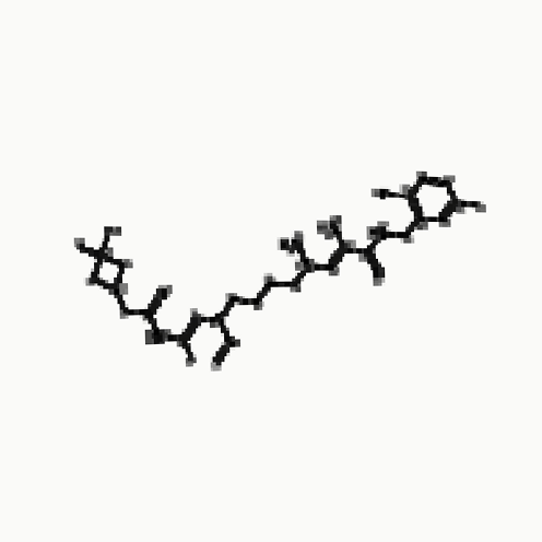 C=NN(/C=C(\C)NC(=O)CN1CC(C)(F)C1)CCCCN(N)/C=C(\N)C(=O)NCc1cc(C)ccc1F